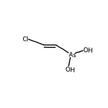 O[As](O)C=CCl